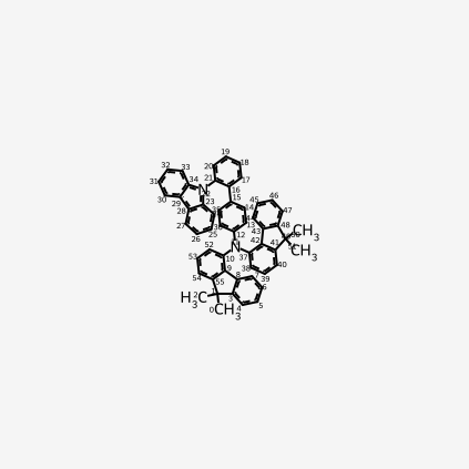 CC1(C)c2ccccc2-c2c(N(c3ccc(-c4ccccc4-n4c5ccccc5c5ccccc54)cc3)c3cccc4c3-c3ccccc3C4(C)C)cccc21